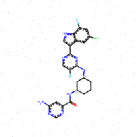 Nc1cc(C(=O)N[C@@H]2CCC[C@H](Nc3nc(-c4c[nH]c5c(F)cc(Cl)cc45)ncc3F)C2)ncn1